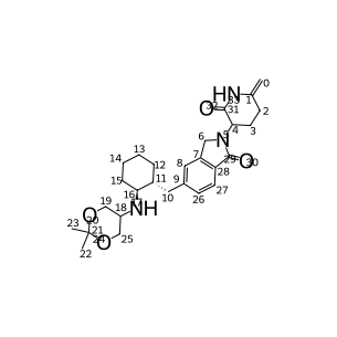 C=C1CCC(N2Cc3cc(C[C@H]4CCCC[C@@H]4NC4COC(C)(C)OC4)ccc3C2=O)C(=O)N1